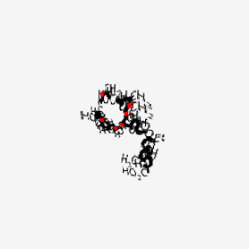 C=C1C[C@@H]2CC[C@]34O[C@H]5[C@H]6O[C@H](CC[C@@H]6O[C@@H]6[C@H]5OC5(O)[C@H]3C65O4)CC(=O)O[C@@H]3CC4OC5C[C@H](O[C@H]6CC[C@@]7(C[C@H](C)[C@@H]8O[C@H](CC(=O)O)CC[C@@H]8O7)O[C@H]6CC)O[C@@H]5C[C@@H]4O[C@H]3C[C@H]3O[C@@H](CC[C@@H]1O2)C[C@@H](C)C3=C